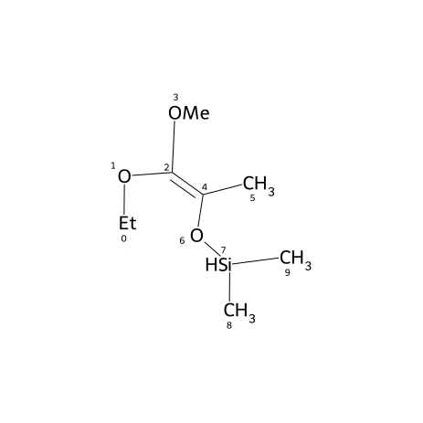 CCOC(OC)=C(C)O[SiH](C)C